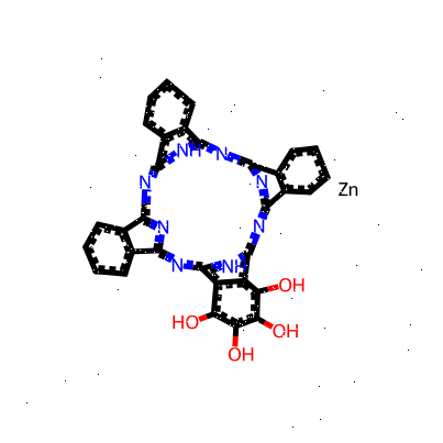 Oc1c(O)c(O)c2c3nc4nc(nc5[nH]c(nc6nc(nc([nH]3)c2c1O)-c1ccccc1-6)c1ccccc51)-c1ccccc1-4.[Zn]